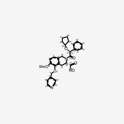 COc1ccc2c(c1OCc1ccncc1)C[C@@H](C(=O)N=O)N(C(=O)[C@@H](OC1CCCC1)c1ccccc1)C2